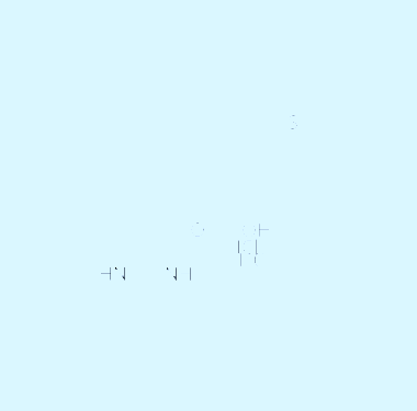 Cl.Cl.OC(COCC1CNCCN1)c1ccc2sccc2c1